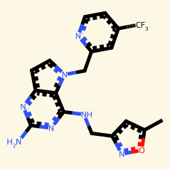 Cc1cc(CNc2nc(N)nc3ccn(Cc4cc(C(F)(F)F)ccn4)c23)no1